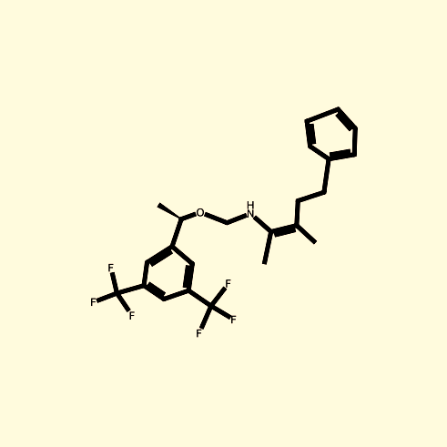 C/C(CCc1ccccc1)=C(\C)NCO[C@H](C)c1cc(C(F)(F)F)cc(C(F)(F)F)c1